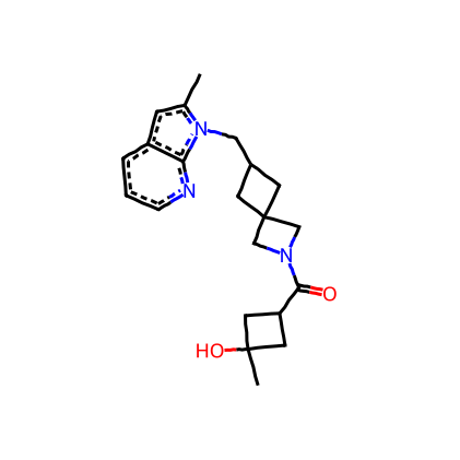 Cc1cc2cccnc2n1CC1CC2(C1)CN(C(=O)C1CC(C)(O)C1)C2